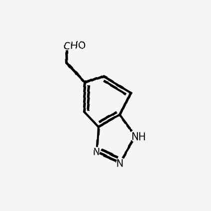 O=CCc1ccc2[nH]nnc2c1